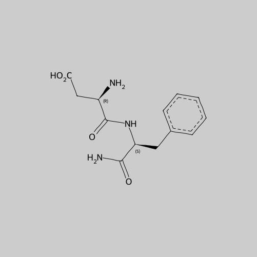 NC(=O)[C@H](Cc1ccccc1)NC(=O)[C@H](N)CC(=O)O